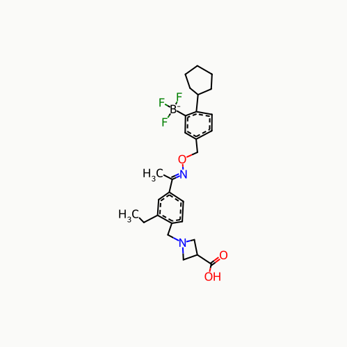 CCc1cc(/C(C)=N/OCc2ccc(C3CCCCC3)c([B-](F)(F)F)c2)ccc1CN1CC(C(=O)O)C1